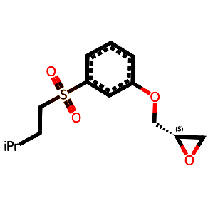 CC(C)CCS(=O)(=O)c1cccc(OC[C@@H]2CO2)c1